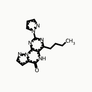 CCCCc1nc(-n2cccn2)nc2c1[nH]c(=O)c1ccnn12